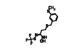 C=Nc1cccc(CSCC/C(=N/SC(F)(F)F)NO)c1